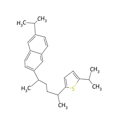 CC(C)c1ccc2cc(C(C)CCC(C)c3ccc(C(C)C)s3)ccc2c1